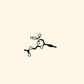 CC#CC(CS(=O)(=O)O)OCCOC(C)=O